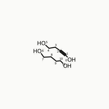 OC#CCCO.OCCCCO